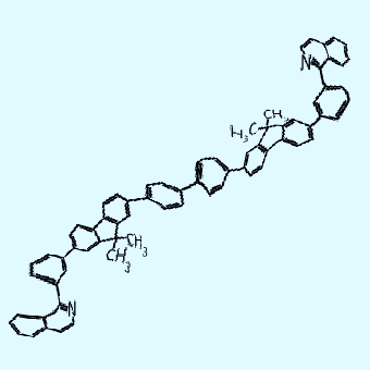 CC1(C)c2cc(-c3ccc(-c4ccc(-c5ccc6c(c5)C(C)(C)c5cc(-c7cccc(-c8nccc9ccccc89)c7)ccc5-6)cc4)cc3)ccc2-c2ccc(-c3cccc(-c4nccc5ccccc45)c3)cc21